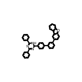 c1ccc(C2=NC(c3ccc(-c4cccc(-c5ccc6oc7ccccc7c6c5)c4)cc3)NC(c3ccccc3)=N2)cc1